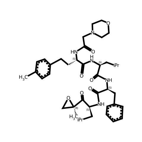 Cc1ccc(CC[C@H](NC(=O)CN2CCOCC2)C(=O)N[C@@H](CC(C)C)C(=O)N[C@@H](Cc2ccccc2)C(=O)N[C@@H](CC(C)C)C(=O)[C@@]2(C)CO2)cc1